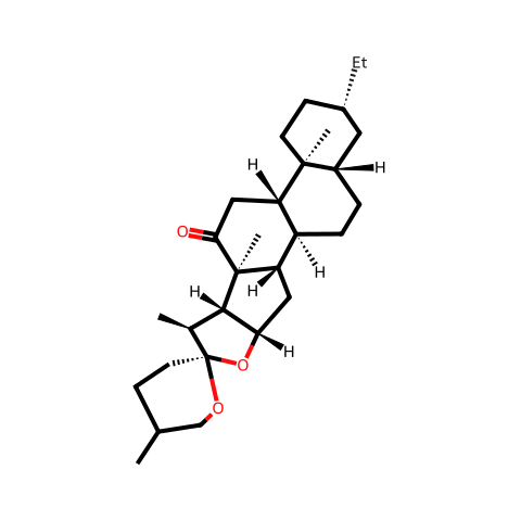 CC[C@H]1CC[C@@]2(C)[C@@H](CC[C@@H]3[C@@H]2CC(=O)[C@]2(C)[C@@H]4[C@H](C[C@@H]32)O[C@]2(CCC(C)CO2)[C@H]4C)C1